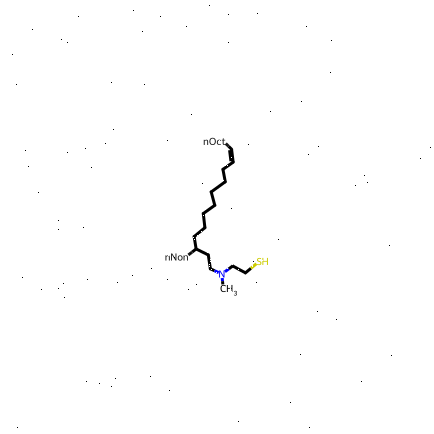 CCCCCCCC/C=C\CCCCCCCC(CCCCCCCCC)CCN(C)CCS